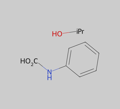 CC(C)O.O=C(O)Nc1ccccc1